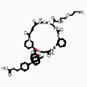 NCCOCCNC(=O)[C@@H]1CCNC(=O)/C=C/C(=O)N2CCC[C@](Cc3ccccc3)(C2)C(=O)N[C@@H](Cc2ccc(-c3ccc(CCC(=O)O)cc3)cc2)C(=O)NCc2ccccc2CC(=O)N1